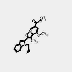 COC(=O)c1cc(OC)c2c(C)c(-c3cc4ccccc4n3CC3CC3)nn2c1